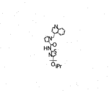 CC(C)OC(C)(C)c1csc(NC(=O)c2cccn2Cc2ccnc3ccccc23)n1